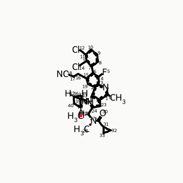 Cc1nc2c(F)c(-c3cccc(Cl)c3Cl)c(CCC#N)cc2c2c1cc([C@@H](C)N(C)C(=O)C1CC1)n2[C@H]1[C@H]2CN[C@@H]1C2